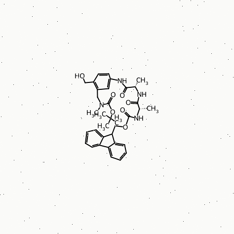 C[C@H](NC(=O)OCC1c2ccccc2-c2ccccc21)C(=O)N[C@@H](C)C(=O)Nc1ccc(CO)c(CN(C)C(=O)OC(C)(C)C)c1